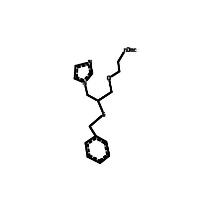 CCCCCCCCCCCCOCC(Cn1ccnc1)SCc1ccccc1